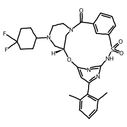 Cc1cccc(C)c1-c1cc2nc(n1)NS(=O)(=O)c1cccc(c1)C(=O)N1CCN(C3CCC(F)(F)CC3)C[C@H](C1)O2